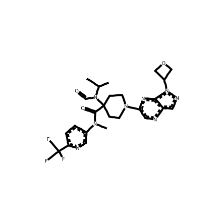 CC(C)N(C=O)C1(C(=O)N(C)c2ccc(C(F)(F)F)nc2)CCN(c2cnc3cnn(C4COC4)c3n2)CC1